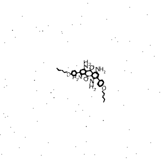 CCCCCOc1ccc(-c2cc(N)c3c(c2N)C(=O)c2c(N)c(-c4ccc(OCCCCC)cc4)cc(N)c2C3=O)cc1